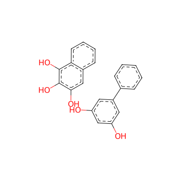 Oc1cc(O)cc(-c2ccccc2)c1.Oc1cc2ccccc2c(O)c1O